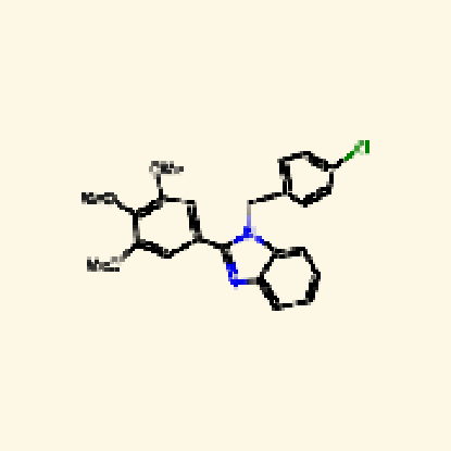 COc1cc(-c2nc3ccccc3n2Cc2ccc(Cl)cc2)cc(OC)c1OC